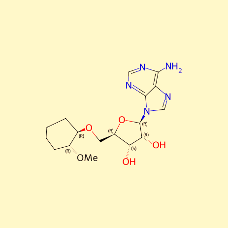 CO[C@@H]1CCCC[C@H]1OC[C@H]1O[C@@H](n2cnc3c(N)ncnc32)[C@H](O)[C@@H]1O